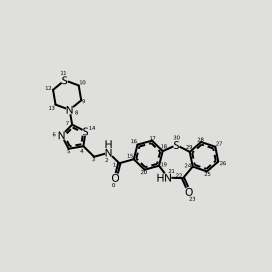 O=C(NCc1cnc(N2CCSCC2)s1)c1ccc2c(c1)NC(=O)c1ccccc1S2